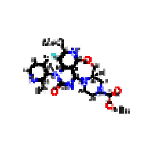 COc1nc2c3c(nc(=O)n(-c4c(C)ccnc4C(C)C)c3c1F)N1CCN(C(=O)OC(C)(C)C)C[C@H]1CO2